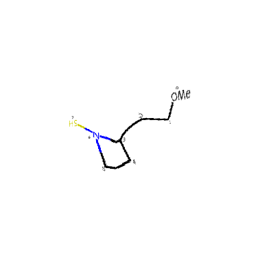 COCCC1CCN1S